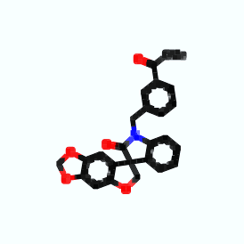 COC(=O)c1cccc(CN2C(=O)C3(COc4cc5c(cc43)OCO5)c3ccccc32)c1